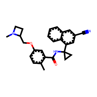 Cc1ccc(OCC2CCN2C)cc1C(=O)NC1(c2cc(C#N)cc3ccccc23)CC1